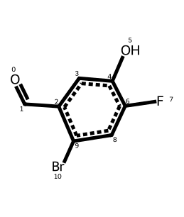 O=Cc1cc(O)c(F)cc1Br